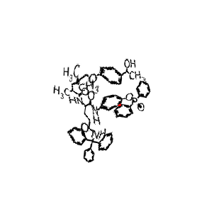 CC(CC(C)(C)COc1ccc(C(C)O)cc1)C(=O)NC(CCC(=O)NC(c1ccccc1)(c1ccccc1)c1ccccc1)C(=O)Nc1ccc(OP(=O)(c2ccccc2)c2ccccc2)cc1